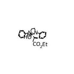 C=C(CC(=O)OCC)[PH]1(O)N(c2ccccc2)CCN1c1ccccc1